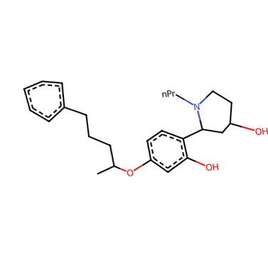 CCCN1CCC(O)CC1c1ccc(OC(C)CCCc2ccccc2)cc1O